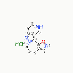 Cl.c1noc2c1CCCn1nc3c(c1-2)CNCC3